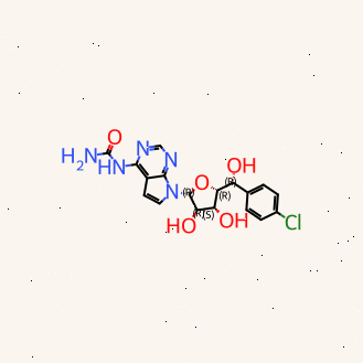 NC(=O)Nc1ncnc2c1ccn2[C@@H]1O[C@H]([C@H](O)c2ccc(Cl)cc2)[C@@H](O)[C@H]1O